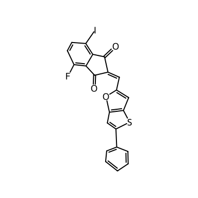 O=C1/C(=C\c2cc3sc(-c4ccccc4)cc3o2)C(=O)c2c(I)ccc(F)c21